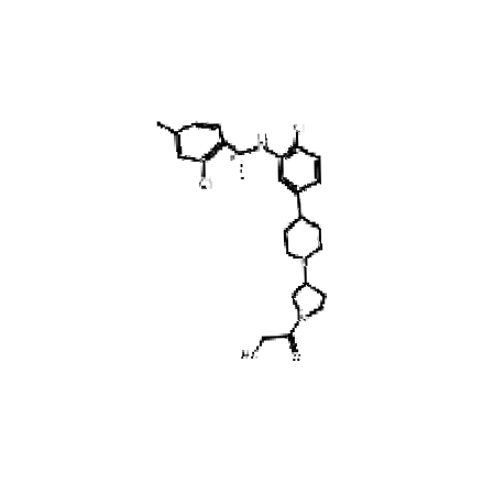 Cc1ccc([C@@H](C)Nc2cc(C3CCN(C4CCN(C(=O)CO)C4)CC3)ccc2Cl)c(Cl)c1